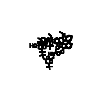 CCN(CC)c1ccc(C2(c3c(C)n(CC)c4ccccc34)OC(=O)c3ccccc32)c(OCC(=O)NCC2OC(CC(C)(C)C(C)(C)C(CC(C)(O)C(C)(C)C(CC(C)(C)C)OC(C)=O)OP(OC(C)C)OC(C)C)CC(C(C)(C)C)O2)c1